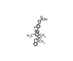 CCc1cc(C(=O)N2CCc3ccccc3[C@H]2C)c(C)c2cc(-c3ccc(N4CCC(C(=O)O)C4)cc3F)nn12